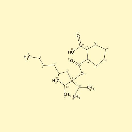 CCCCCCC(OC(=O)C1CCCCC1C(=O)O)(C(C)C)C(C)C